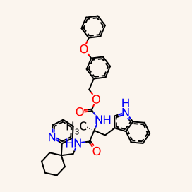 C[C@@](Cc1c[nH]c2ccccc12)(NC(=O)OCc1cccc(Oc2ccccc2)c1)C(=O)NCC1(c2ccccn2)CCCCC1